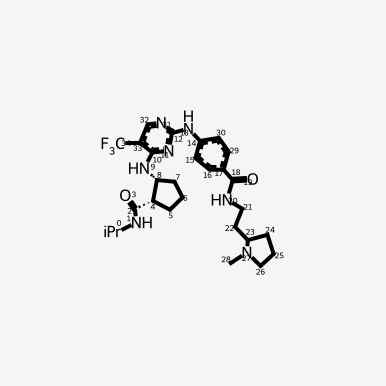 CC(C)NC(=O)[C@H]1CCC[C@H]1Nc1nc(Nc2ccc(C(=O)NCCC3CCCN3C)cc2)ncc1C(F)(F)F